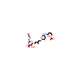 CC(=O)O[C@@H](C)/C=C\C(=O)N[C@@H]1C[C@H](C)[C@H](C/C=C(C)/C=C/[C@H]2O[C@H](CN=C=O)C[C@@]3(CO3)[C@@H]2O)O[C@@H]1C